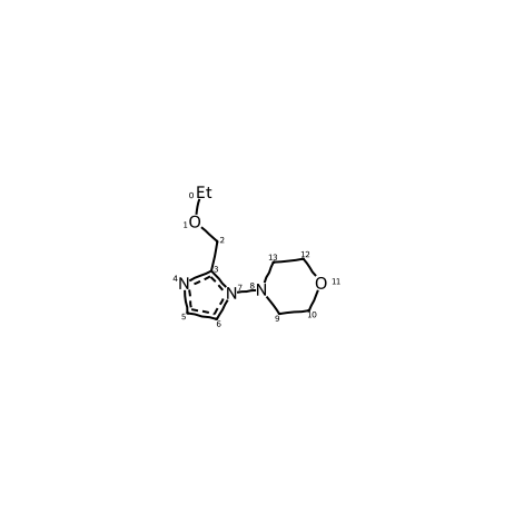 CCOCc1nccn1N1CCOCC1